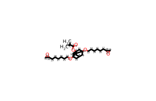 C=C(C)C(=O)OC12CC3CC(OCCCCCCC4CO4)(CC(OCCCCCCC4CO4)(C3)C1)C2